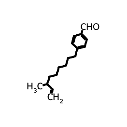 C=CC(C)CCCCCCc1ccc(C=O)cc1